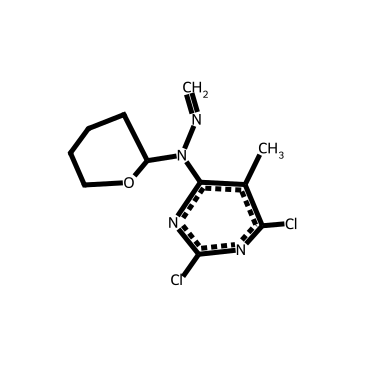 C=NN(c1nc(Cl)nc(Cl)c1C)C1CCCCO1